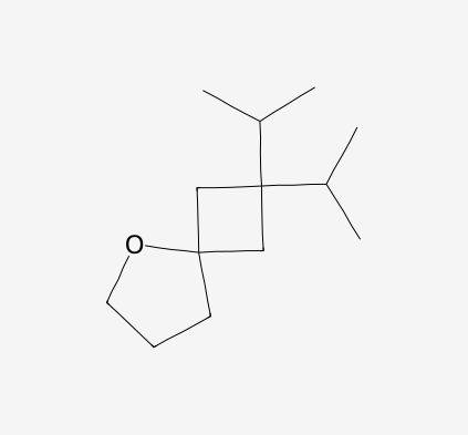 CC(C)C1(C(C)C)CC2(CCCO2)C1